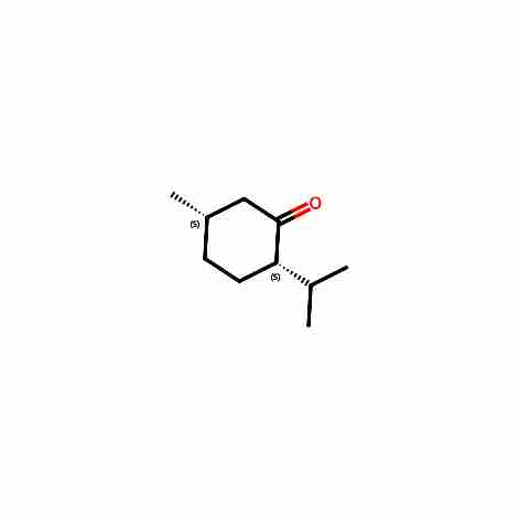 CC(C)[C@@H]1CC[C@H](C)CC1=O